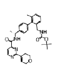 Cc1cccc(CNC(=O)OC(C)(C)C)c1-c1ccc([C@@H](C)NC(=O)c2ccnc(C3=CCOCC3)n2)cc1